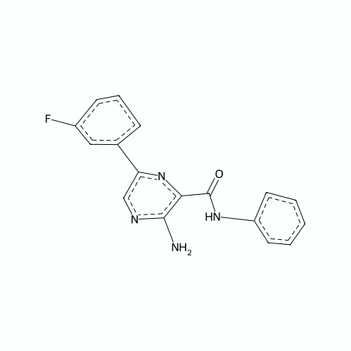 Nc1ncc(-c2cccc(F)c2)nc1C(=O)Nc1ccccc1